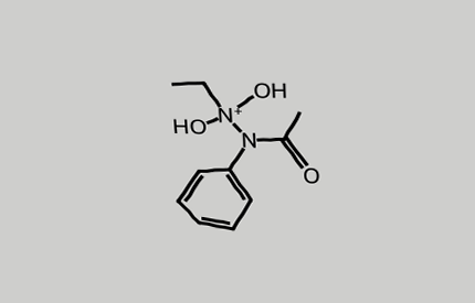 CC[N+](O)(O)N(C(C)=O)c1ccccc1